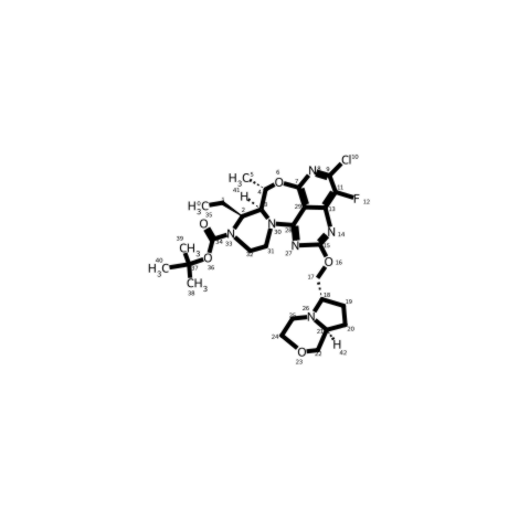 CC[C@H]1[C@H]2[C@H](C)Oc3nc(Cl)c(F)c4nc(OC[C@@H]5CC[C@H]6COCCN65)nc(c34)N2CCN1C(=O)OC(C)(C)C